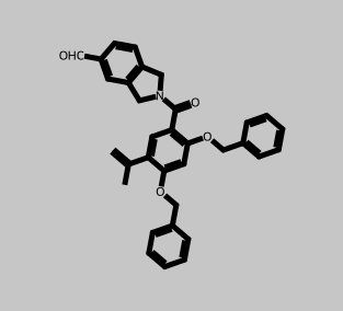 C=C(C)c1cc(C(=O)N2Cc3ccc(C=O)cc3C2)c(OCc2ccccc2)cc1OCc1ccccc1